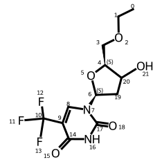 CCOC[C@@H]1O[C@H](n2cc(C(F)(F)F)c(=O)[nH]c2=O)CC1O